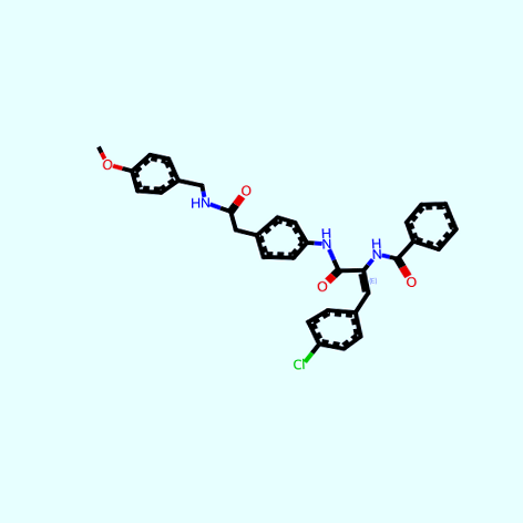 COc1ccc(CNC(=O)Cc2ccc(NC(=O)/C(=C\c3ccc(Cl)cc3)NC(=O)c3ccccc3)cc2)cc1